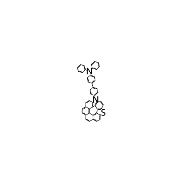 c1ccc(N(c2ccccc2)c2ccc(-c3ccc(-n4c5ccc6ccc7ccc8ccc9sc%10ccc4c4c%10c9c8c7c6c45)cc3)cc2)cc1